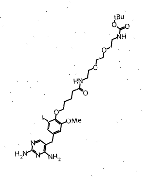 COc1cc(Cc2cnc(N)nc2N)cc(I)c1OCCCCC(=O)NCCOCCOCCNC(=O)OC(C)(C)C